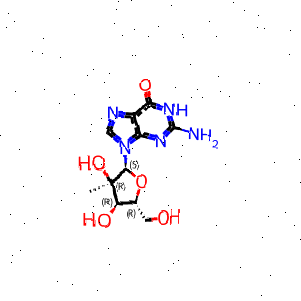 C[C@@]1(O)[C@H](O)[C@@H](CO)O[C@@H]1n1cnc2c(=O)[nH]c(N)nc21